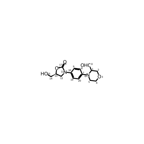 O=CC1COCCN1c1ccc(N2C[C@@H](CO)OC2=O)cc1